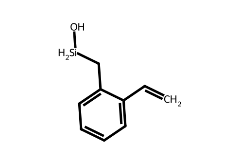 C=Cc1ccccc1C[SiH2]O